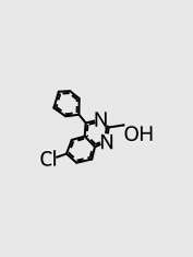 OCc1nc(-c2ccccc2)c2cc(Cl)ccc2n1